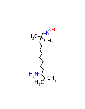 CC(C)C(N)CCCCCCCCC(C)(C)C=NO